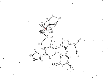 O=S(=O)(N[C@H]1CC2=C(c3ccn(C(F)F)n3)[C@H](c3ccc(F)cc3Cl)N=C(c3nccs3)N2C1)N1C2CCC1CC(O)C2